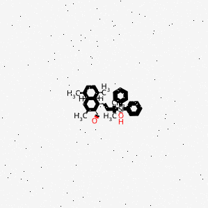 C[C@H]1C[C@@H]2[C@H]([C@H](CCC(C)(C)[Si](O)(c3ccccc3)c3ccccc3)[C@@H]1C=O)[C@@H](C)CC[C@@H]2C